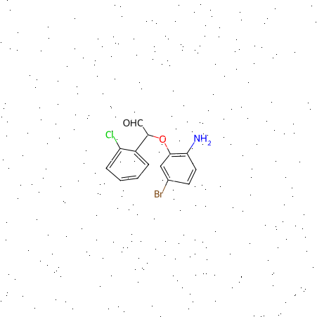 Nc1ccc(Br)cc1OC(C=O)c1ccccc1Cl